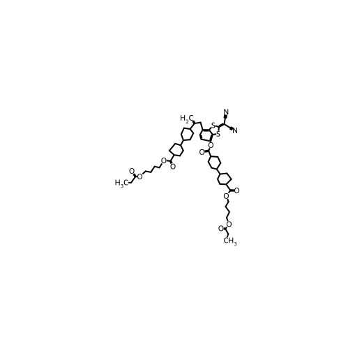 C=C(Cc1ccc(OC(=O)C2CCC(C3CCC(C(=O)OCCCCOC(=O)CC)CC3)CC2)c2c1SC(=C(C#N)C#N)S2)C1CCC(C2CCC(C(=O)OCCCCOC(=O)CC)CC2)CC1